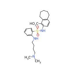 CN(C)CCCCNc1ccccc1S(=O)(=O)Nc1ccc2c(c1C(=O)O)CCCCC2